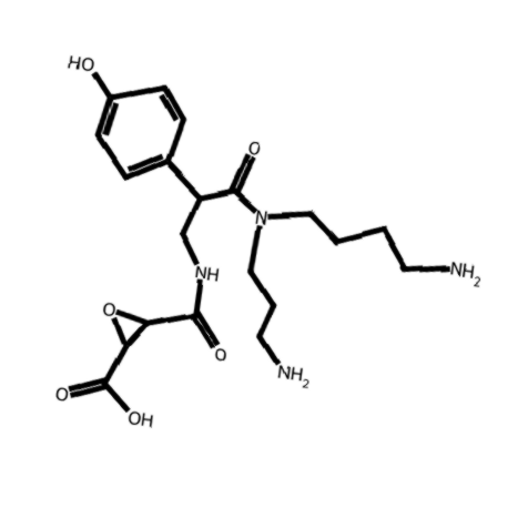 NCCCCN(CCCN)C(=O)C(CNC(=O)C1OC1C(=O)O)c1ccc(O)cc1